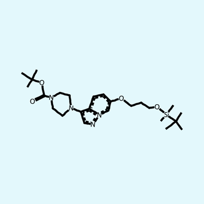 CC(C)(C)OC(=O)N1CCN(c2cnn3cc(OCCCO[Si](C)(C)C(C)(C)C)ccc23)CC1